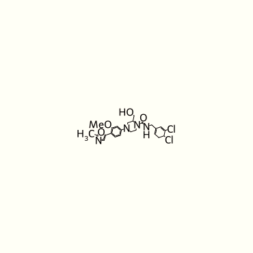 COc1cc(N2CCN(C(=O)NCC3=CCC(Cl)C(Cl)=C3)C(CO)C2)ccc1-c1cnc(C)o1